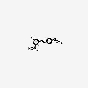 COc1ccc(/C=C/c2cc(=O)cc(C(=O)O)o2)cc1